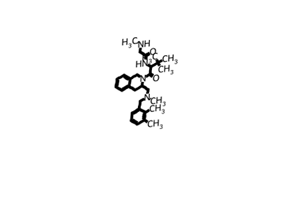 CNCC(=O)NC(C(=O)N1Cc2ccccc2CC1CN(C)Cc1cccc(C)c1C)C(C)(C)C